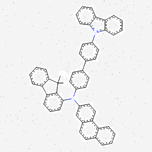 CC1(C)c2ccccc2-c2cccc(N(c3ccc(-c4ccc(-n5c6ccccc6c6ccccc65)cc4)cc3)c3ccc4c(ccc5ccccc54)c3)c21